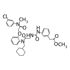 COC(=O)Cc1cccc(NC(=O)NCC(=O)N(CC2CCCCC2)c2ccccc2OCC(=O)N(C)c2cccc(Cl)c2)c1